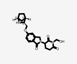 O=C1CCC(N2Cc3cc(OC[C@H]4N[C@@H]5CC[C@H]4C5)ccc3C2=O)C(=O)N1CO